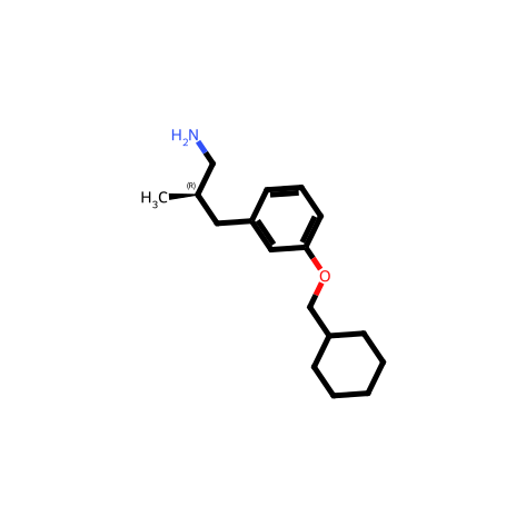 C[C@@H](CN)Cc1cccc(OCC2CCCCC2)c1